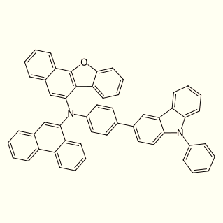 c1ccc(-n2c3ccccc3c3cc(-c4ccc(N(c5cc6ccccc6c6ccccc56)c5cc6ccccc6c6oc7ccccc7c56)cc4)ccc32)cc1